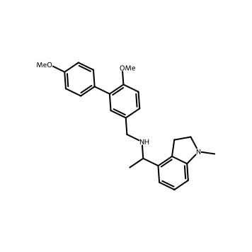 COc1ccc(-c2cc(CNC(C)c3cccc4c3CCN4C)ccc2OC)cc1